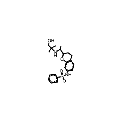 CC(NC(C)(C)CO)C1CCc2ccc(NS(=O)(=O)c3ccccc3)cc2O1